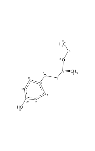 CCO[C@@H](C)COc1ccc(O)cc1